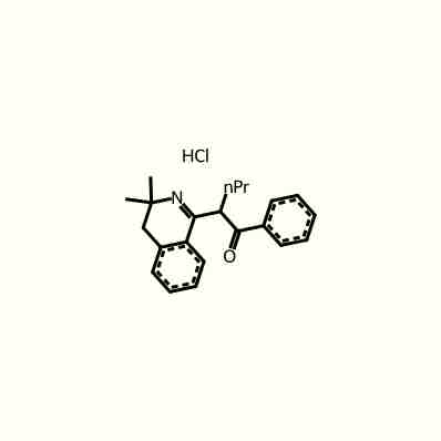 CCCC(C(=O)c1ccccc1)C1=NC(C)(C)Cc2ccccc21.Cl